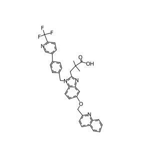 CC(C)(Cc1nc2cc(OCc3ccc4ccccc4n3)ccc2n1Cc1ccc(-c2ccc(C(F)(F)F)nc2)cc1)C(=O)O